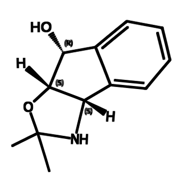 CC1(C)N[C@H]2c3ccccc3[C@@H](O)[C@H]2O1